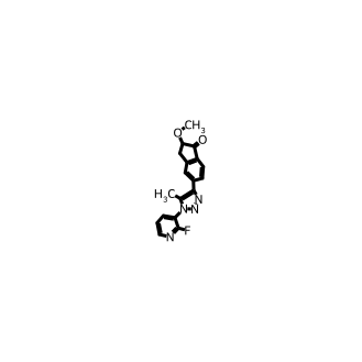 COC1Cc2cc(-c3nnn(-c4cccnc4F)c3C)ccc2C1=O